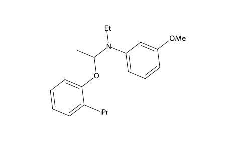 CCN(c1cccc(OC)c1)C(C)Oc1ccccc1C(C)C